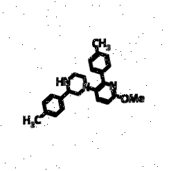 COc1ccc(N2CCNC(c3ccc(C)cc3)C2)c(-c2ccc(C)cc2)n1